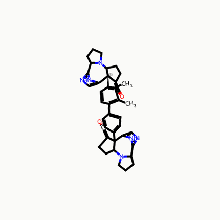 Cc1c(-c2ccc(C34[C](CCC3=C=O)N3CCCC3c3ncc4[nH]3)cc2)ccc([C@@]23[C](CCC2=C=O)N2CCCC2c2ncc3[nH]2)c1C